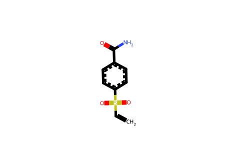 C=CS(=O)(=O)c1ccc(C(N)=O)cc1